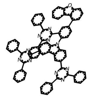 c1ccc(-c2nc(-c3ccccc3)nc(-c3ccc4c(c3)c3cc(-c5nc(-c6ccccc6)nc(-c6ccccc6)n5)ccc3n4-c3ccc(-c4cccc5oc6ccccc6c45)cc3-c3nc(-c4ccccc4)nc(-c4ccccc4)n3)n2)cc1